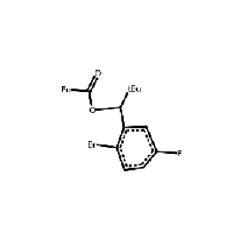 CC(C)(C)C(=O)OC(c1cc(F)ccc1Br)C(C)(C)C